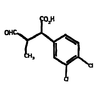 CC(C=O)C(C(=O)O)c1ccc(Cl)c(Cl)c1